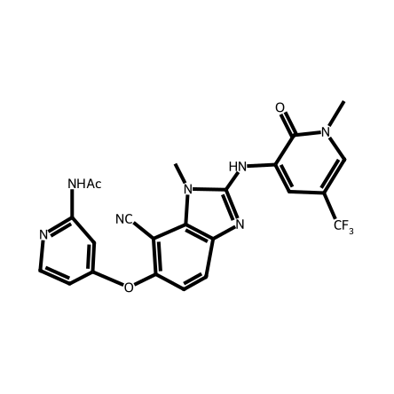 CC(=O)Nc1cc(Oc2ccc3nc(Nc4cc(C(F)(F)F)cn(C)c4=O)n(C)c3c2C#N)ccn1